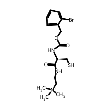 C[N+](C)(C)CCNC(=O)[C@H](CS)NC(=O)OCc1ccccc1Br